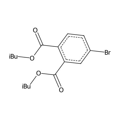 CCC(C)OC(=O)c1ccc(Br)cc1C(=O)OC(C)CC